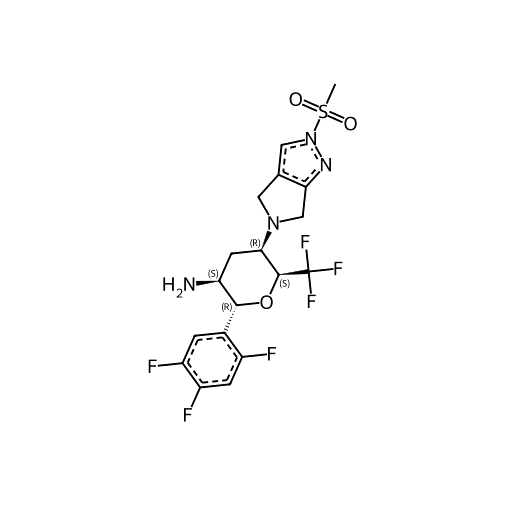 CS(=O)(=O)n1cc2c(n1)CN([C@@H]1C[C@H](N)[C@@H](c3cc(F)c(F)cc3F)O[C@@H]1C(F)(F)F)C2